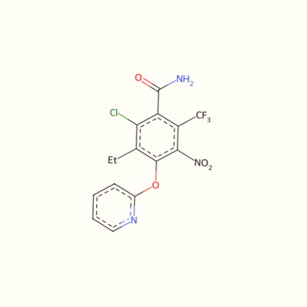 CCc1c(Cl)c(C(N)=O)c(C(F)(F)F)c([N+](=O)[O-])c1Oc1ccccn1